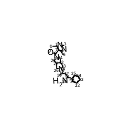 Cc1ncnc(C)c1C(=O)N1CC2CN(C(C)C[C@H](N)c3ccccc3)CC2C1